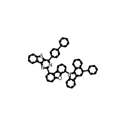 c1ccc(-c2ccc(-c3nc(-c4cccc5oc6c(-n7c8ccccc8c8cc(-c9ccccc9)c9ccccc9c87)cccc6c45)nc4c3sc3ccccc34)cc2)cc1